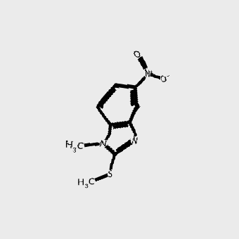 CSc1nc2cc([N+](=O)[O-])ccc2n1C